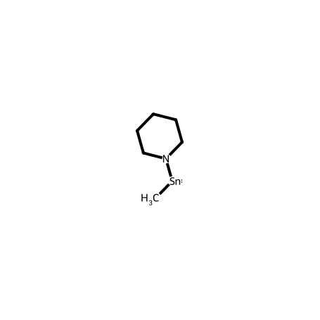 [CH3][Sn][N]1CCCCC1